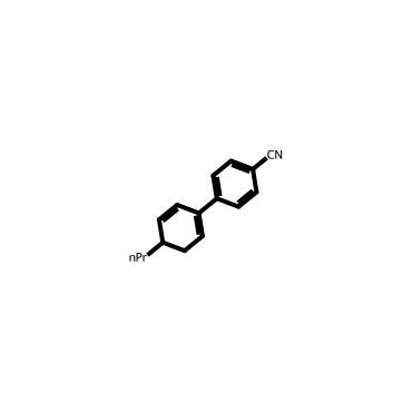 CCCC1C=CC(c2ccc(C#N)cc2)=CC1